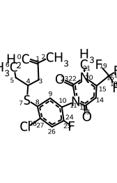 C=C(C)CC(CC)Sc1cc(-n2c(=O)cc(C(F)(F)F)n(C)c2=O)c(F)cc1Cl